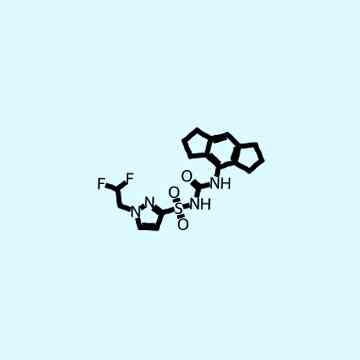 O=C(Nc1c2c(cc3c1CCC3)CCC2)NS(=O)(=O)c1ccn(CC(F)F)n1